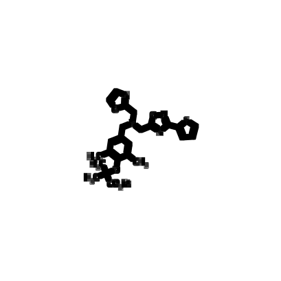 CCOC(=O)C(C)(C)Oc1c(C)cc(CN(Cc2ncco2)Cc2nc(-c3cccs3)no2)cc1C